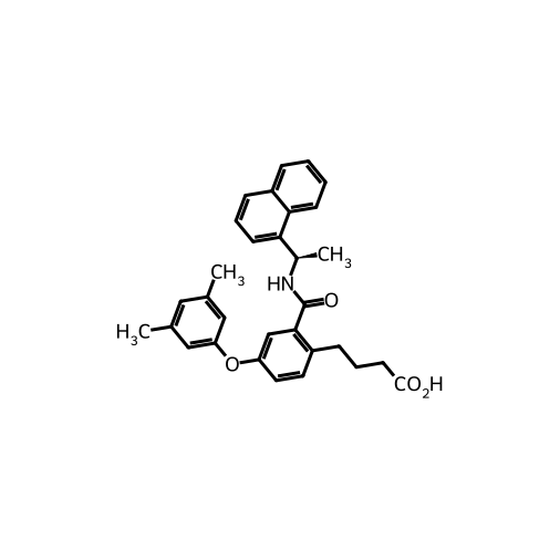 Cc1cc(C)cc(Oc2ccc(CCCC(=O)O)c(C(=O)N[C@H](C)c3cccc4ccccc34)c2)c1